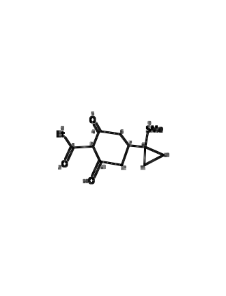 CCC(=O)C1C(=O)CC(C2(SC)CC2)CC1=O